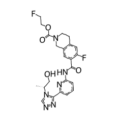 C[C@H](CO)n1cnnc1-c1cccc(NC(=O)c2cc3c(cc2F)CCN(C(=O)OCCF)C3)n1